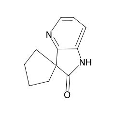 O=C1Nc2cccnc2C12CCCC2